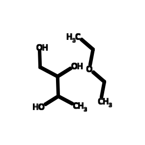 CC(O)C(O)CO.CCOCC